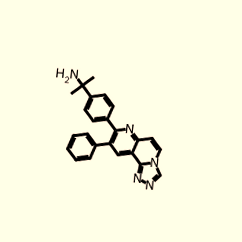 CC(C)(N)c1ccc(-c2nc3ccn4cnnc4c3cc2-c2ccccc2)cc1